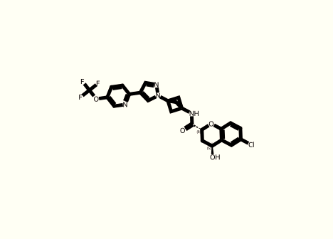 O=C(NC12CC(n3cc(-c4ccc(OC(F)(F)F)cn4)cn3)(C1)C2)[C@H]1C[C@H](O)c2cc(Cl)ccc2O1